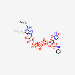 CSCCNc1nc(SCCC(F)(F)F)nc2c1ncn2[C@@H]1O[C@H](COP(=O)(O)OP(=O)(O)OP(=O)(O)OP(=O)(O)OC[C@H]2O[C@@H](n3ccc(=O)[nH]c3=O)[C@H](OC(=O)Nc3ccccc3)[C@@H]2O)[C@@H](O)[C@H]1O